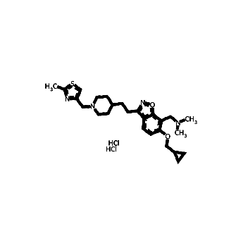 Cc1nc(CN2CCC(CCc3noc4c(CN(C)C)c(OCC5CC5)ccc34)CC2)cs1.Cl.Cl